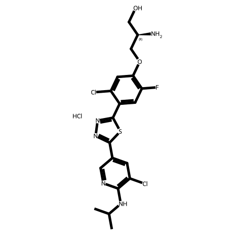 CC(C)Nc1ncc(-c2nnc(-c3cc(F)c(OC[C@H](N)CO)cc3Cl)s2)cc1Cl.Cl